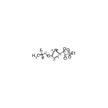 CCS(=O)(=O)C(Cl)C(=O)c1ccc(OCC(C)(F)F)cn1